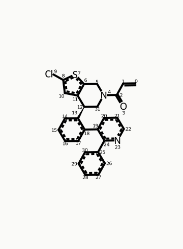 C=CC(=O)N1Cc2sc(Cl)cc2[C@H](c2ccccc2-c2cccnc2-c2ccccc2)C1